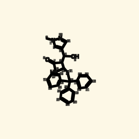 Cn1cc(C(O)C2C(=O)NC2SC(c2ccccc2)(c2ccccc2)c2ccccc2)cn1